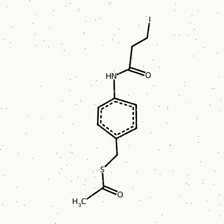 CC(=O)SCc1ccc(NC(=O)CCI)cc1